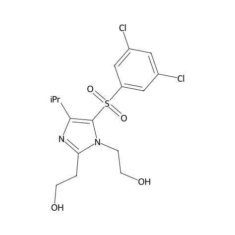 CC(C)c1nc(CCO)n(CCO)c1S(=O)(=O)c1cc(Cl)cc(Cl)c1